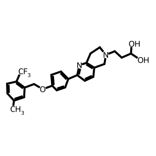 Cc1ccc(C(F)(F)F)c(COc2ccc(-c3ccc4c(n3)CCN(CCC(O)O)C4)cc2)c1